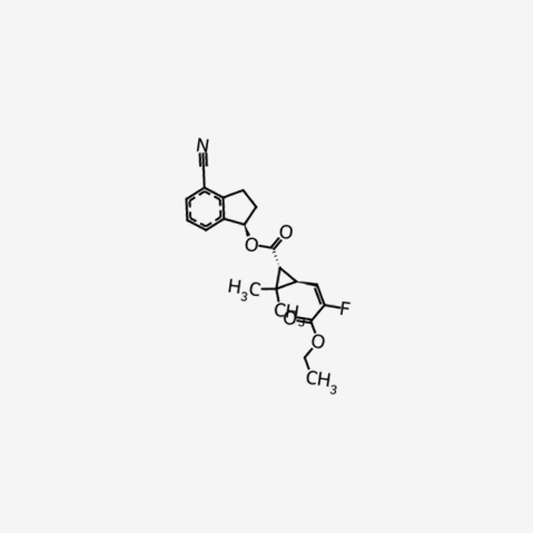 CCOC(=O)/C(F)=C\[C@@H]1[C@@H](C(=O)O[C@@H]2CCc3c(C#N)cccc32)C1(C)C